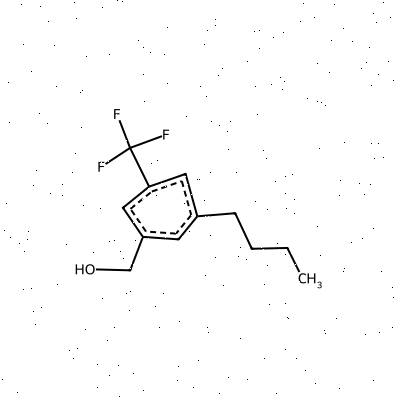 CCCCc1cc(CO)cc(C(F)(F)F)c1